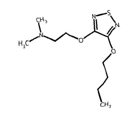 CCCCOc1nsnc1OCCN(C)C